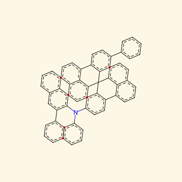 c1ccc(-c2ccc3c(c2)C2(c4cc(N(c5ccccc5)c5cc6ccccc6cc5-c5ccccc5)ccc4-c4cccc5cccc2c45)c2cccc4cccc-3c24)cc1